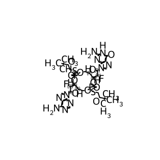 CC(C)(C)C(=O)CSP1(=O)OC[C@H]2O[C@@H](n3cnc4c(=O)[nH]c(N)nc43)[C@H](F)[C@@H]2OP(=O)(SCC(=O)C(C)(C)C)OC[C@H]2O[C@@H](n3cnc4c(N)ncnc43)[C@H](F)[C@@H]2O1